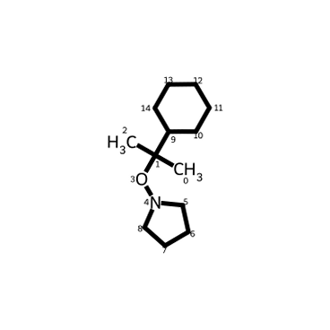 CC(C)(ON1CCCC1)C1CCCCC1